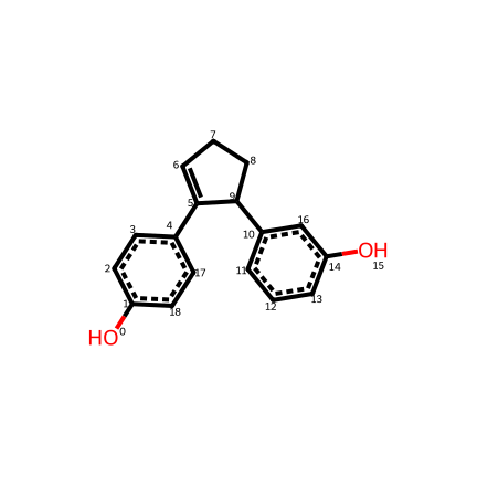 Oc1ccc(C2=CCCC2c2cccc(O)c2)cc1